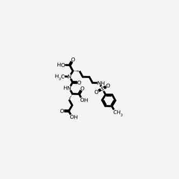 Cc1ccc(S(=O)(=O)NCCCC[C@@H](C(=O)O)N(C)C(=O)N[C@@H](CCC(=O)O)C(=O)O)cc1